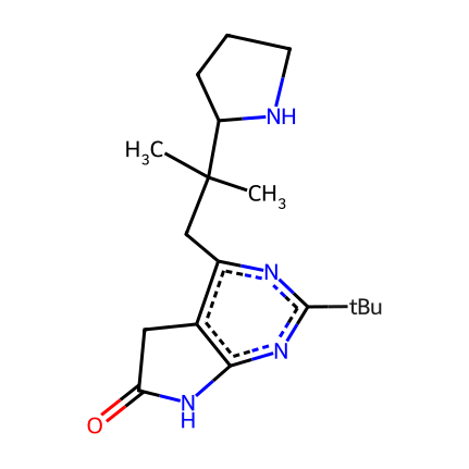 CC(C)(C)c1nc(CC(C)(C)C2CCCN2)c2c(n1)NC(=O)C2